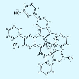 N#Cc1cccc(-c2ccc3c4ccc(-c5cccc(C#N)c5)cc4n(-c4cc(-c5ccccc5C(F)(F)F)ccc4-c4nc(-c5ccccc5)nc(-c5ccccc5)n4)c3c2)c1